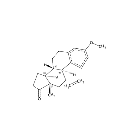 C=C.COc1ccc2c(c1)CC[C@@H]1[C@@H]2CC[C@]2(C)C(=O)CC[C@@H]12